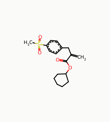 C=C(Cc1ccc(S(C)(=O)=O)cc1)C(=O)OC1CCCCC1